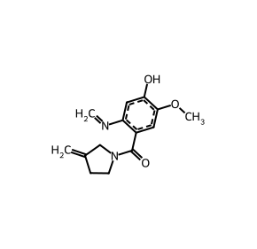 C=Nc1cc(O)c(OC)cc1C(=O)N1CCC(=C)C1